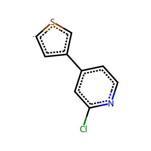 Clc1cc(-c2c[c]sc2)ccn1